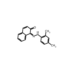 Cc1ccc(NN=C2C(=O)C=Cc3ccccc32)c(C)c1